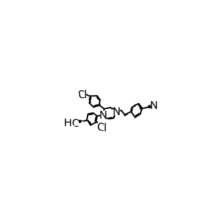 C#Cc1ccc(N2CCN(CCc3ccc(C#N)cc3)CC2c2ccc(Cl)cc2)c(Cl)c1